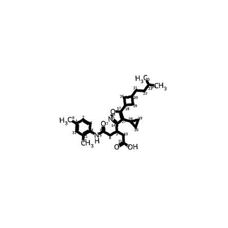 Cc1ccc(NC(=O)CC(CC(=O)O)c2noc(C3CC(CCC(C)C)C3)c2C2CC2)c(C)c1